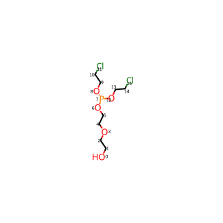 OCCOCCOP(OCCCl)OCCCl